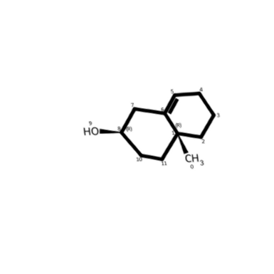 C[C@]12CCCC=C1C[C@H](O)CC2